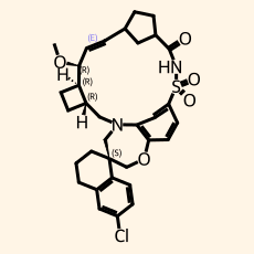 CO[C@H]1/C=C/C2CCC(C2)C(=O)NS(=O)(=O)c2ccc3c(c2)N(C[C@@H]2CC[C@H]21)C[C@@]1(CCCc2cc(Cl)ccc21)CO3